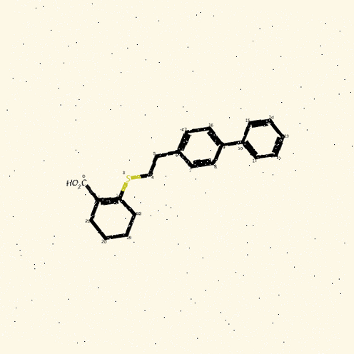 O=C(O)C1=C(SCCc2ccc(-c3ccccc3)cc2)CCCC1